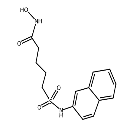 O=C(CCCCS(=O)(=O)Nc1ccc2ccccc2c1)NO